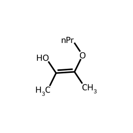 CCCOC(C)=C(C)O